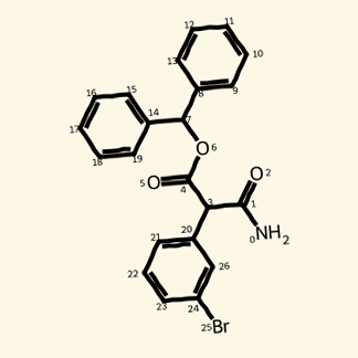 NC(=O)C(C(=O)OC(c1ccccc1)c1ccccc1)c1cccc(Br)c1